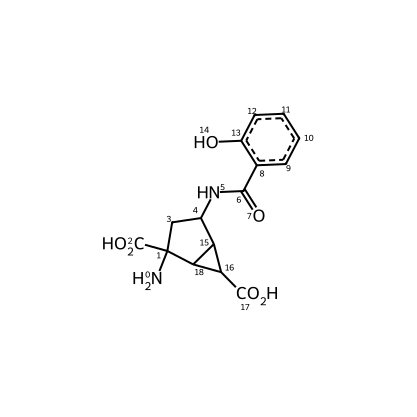 NC1(C(=O)O)CC(NC(=O)c2ccccc2O)C2C(C(=O)O)C21